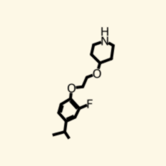 CC(C)c1ccc(OCCOC2CCNCC2)c(F)c1